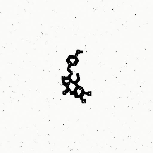 CCC(c1ccc(Cl)c(Cl)c1)n1c(C(=O)O)cnc1SCc1ccc(OC)cc1